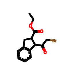 CCOC(=O)C1Cc2ccccc2C1C(=O)CBr